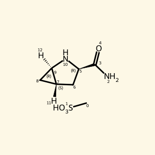 CS(=O)(=O)O.NC(=O)[C@H]1C[C@@H]2C[C@H]2N1